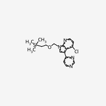 C[Si](C)(C)CCOCn1cc(-c2ccncn2)c2c(Cl)ccnc21